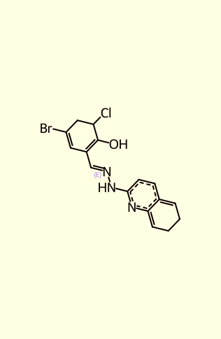 OC1=C(/C=N/Nc2ccc3c(n2)=CCCC=3)C=C(Br)CC1Cl